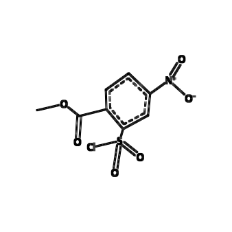 COC(=O)c1ccc([N+](=O)[O-])cc1S(=O)(=O)Cl